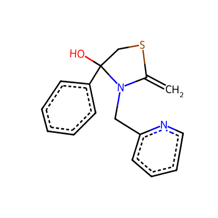 C=C1SCC(O)(c2ccccc2)N1Cc1ccccn1